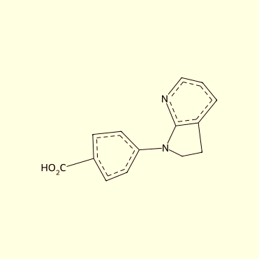 O=C(O)c1ccc(N2CCc3cccnc32)cc1